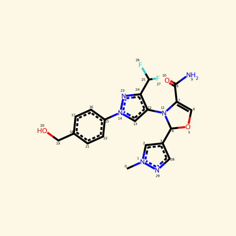 Cn1cc(C2OC=C(C(N)=O)N2c2cn(-c3ccc(CO)cc3)nc2C(F)F)cn1